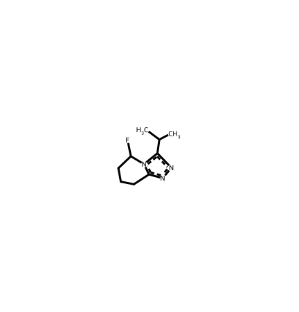 CC(C)c1nnc2n1C(F)CCC2